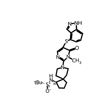 Cn1c(N2CCC3(CCC[C@H]3N[S@+]([O-])C(C)(C)C)CC2)ncc(Sc2cccc3[nH]ncc23)c1=O